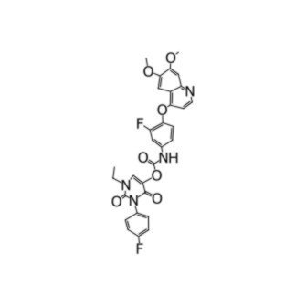 CCn1cc(OC(=O)Nc2ccc(Oc3ccnc4cc(OC)c(OC)cc34)c(F)c2)c(=O)n(-c2ccc(F)cc2)c1=O